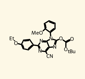 CCOc1ccc(-c2nc(C#N)c3nc(OC(=O)OC(C)(C)C)n(-c4ccccc4OC)c3n2)cc1